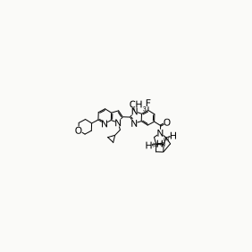 Cn1c(-c2cc3ccc(C4CCOCC4)nc3n2CC2CC2)nc2cc(C(=O)N3C[C@H]4CC5C[C@@H]3[C@H]54)cc(F)c21